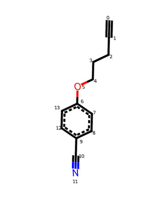 C#CCCCOc1ccc(C#N)cc1